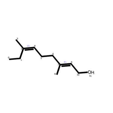 CC/C(C)=C\CC/C(C)=C/CO